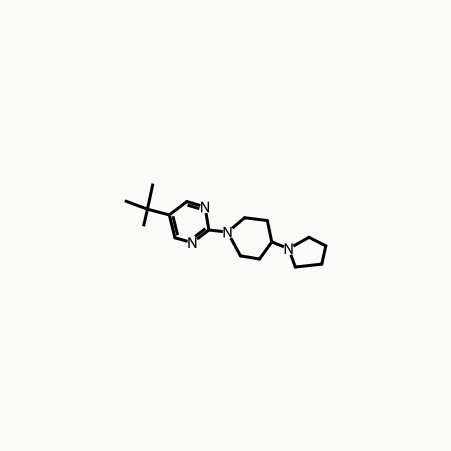 CC(C)(C)c1cnc(N2CCC(N3CCCC3)CC2)nc1